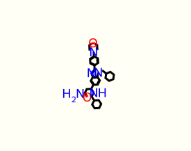 NC(=O)CC(NCC1CCCCC1)c1ccc2c(c1)nc(-c1ccc(N3CCOCC3)cc1)n2CC1CCCCC1